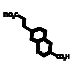 CCOC(=O)/C=C/c1ccc2cc(C(=O)O)cnc2c1